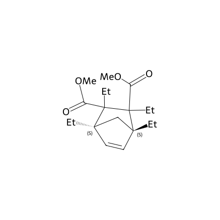 CCC1(C(=O)OC)C(CC)(C(=O)OC)[C@]2(CC)C=C[C@]1(CC)C2